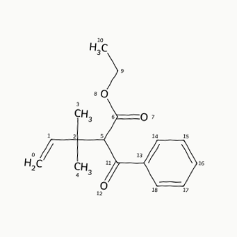 C=CC(C)(C)C(C(=O)OCC)C(=O)c1ccccc1